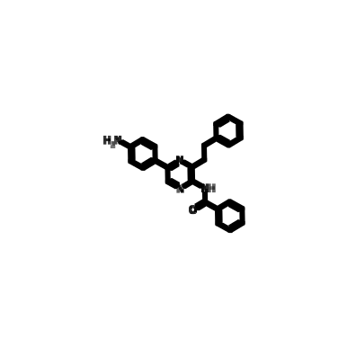 Nc1ccc(-c2cnc(NC(=O)c3ccccc3)c(CCc3ccccc3)n2)cc1